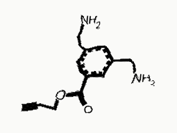 C#CCOC(=O)c1cc(CN)cc(CN)c1